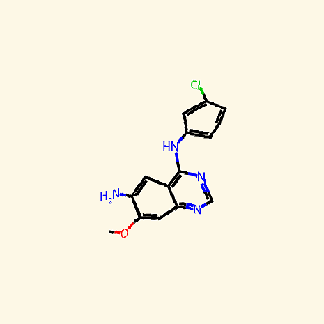 COc1cc2ncnc(Nc3cccc(Cl)c3)c2cc1N